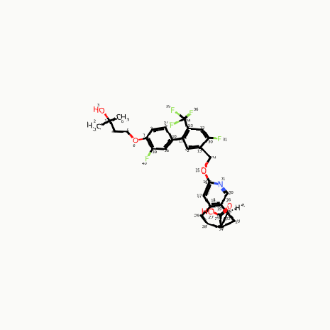 CC(C)(O)CCOc1ccc(-c2cc(COc3cc4c(cn3)[C@H]3CC3(C(=O)O)CC4)c(F)cc2C(F)(F)F)cc1F